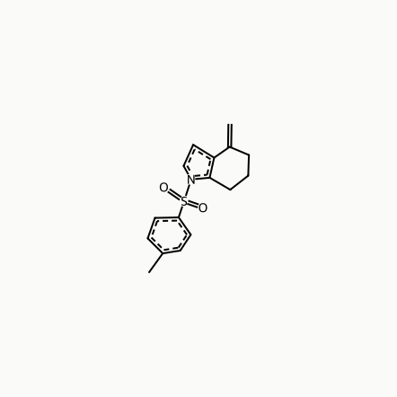 C=C1CCCc2c1ccn2S(=O)(=O)c1ccc(C)cc1